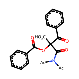 CC(=O)N(C(C)=O)C(=O)C(OC(=O)c1ccccc1)(C(=O)O)C(=O)c1ccccc1